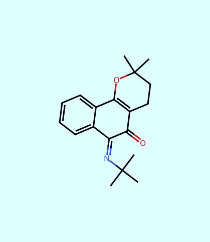 CC(C)(C)N=C1C(=O)C2=C(OC(C)(C)CC2)c2ccccc21